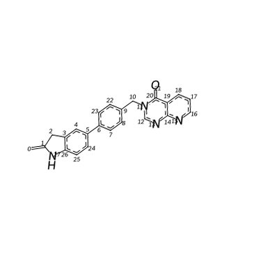 C=C1Cc2cc(-c3ccc(Cn4cnc5ncccc5c4=O)cc3)ccc2N1